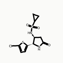 O=C1C[C@H](NS(=O)(=O)C2CC2)[C@@H](c2ccc(Cl)s2)N1